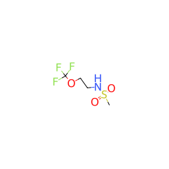 CS(=O)(=O)NCCOC(F)(F)F